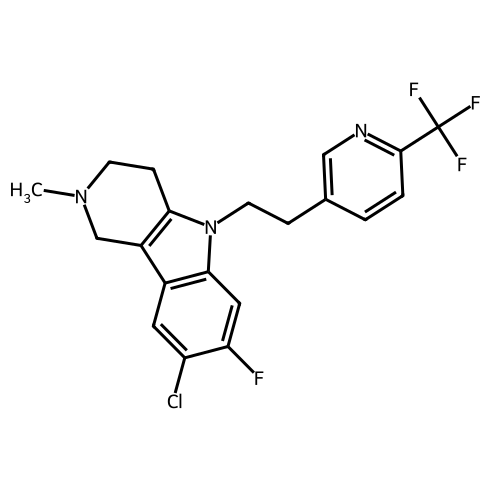 CN1CCc2c(c3cc(Cl)c(F)cc3n2CCc2ccc(C(F)(F)F)nc2)C1